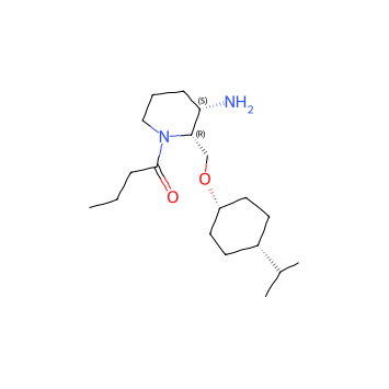 CCCC(=O)N1CCC[C@H](N)[C@@H]1CO[C@H]1CC[C@@H](C(C)C)CC1